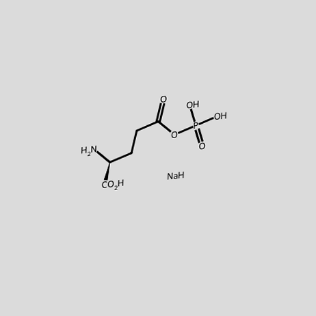 N[C@@H](CCC(=O)OP(=O)(O)O)C(=O)O.[NaH]